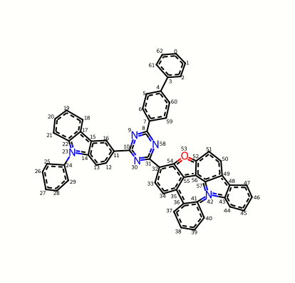 c1ccc(-c2ccc(-c3nc(-c4ccc5c(c4)c4ccccc4n5-c4ccccc4)nc(-c4ccc5c6ccccc6n6c7ccccc7c7ccc8oc4c5c8c76)n3)cc2)cc1